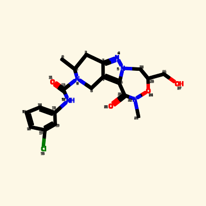 CC1Cc2nn3c(c2CN1C(=O)Nc1cccc(Cl)c1)C(=O)N(C)OC(CO)C3